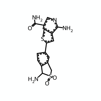 NC(=O)c1cnc(N)c2cc(-c3ccc4c(c3)CS(=O)(=O)C4N)sc12